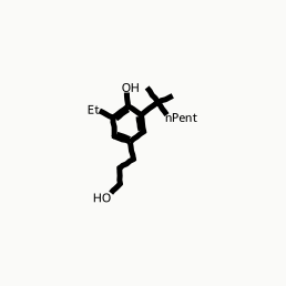 CCCCCC(C)(C)c1cc(CCCO)cc(CC)c1O